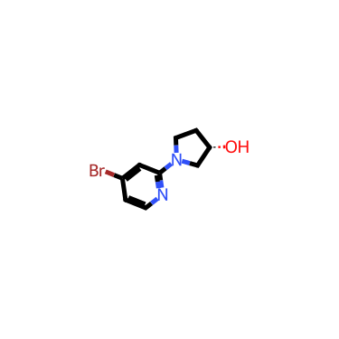 O[C@H]1CCN(c2cc(Br)ccn2)C1